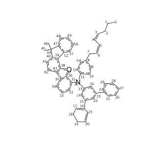 CCC/C=C\C=C/Cc1ccc(N(c2cc(C3=CCCC=C3)cc(-c3ccccc3)c2)c2cccc3c2oc2c4c(ccc23)C(C)(C)c2ccccc2-4)cc1